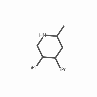 CC1CC(C(C)C)C(C(C)C)CN1